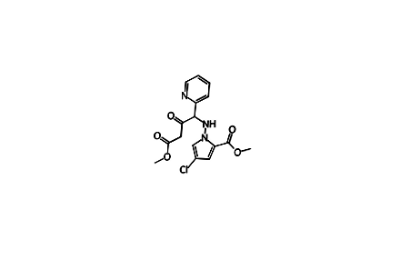 COC(=O)CC(=O)C(Nn1cc(Cl)cc1C(=O)OC)c1ccccn1